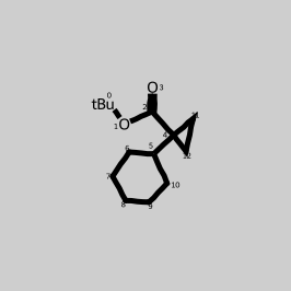 CC(C)(C)OC(=O)C1(C2CCCCC2)CC1